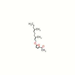 C=CC/C(C)=C/CC/C(C)=C/COc1ccc(C(C)=O)o1